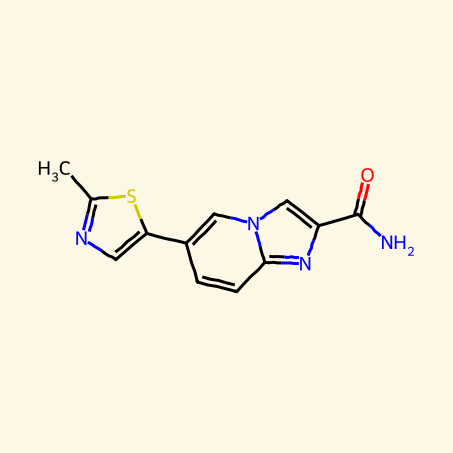 Cc1ncc(-c2ccc3nc(C(N)=O)cn3c2)s1